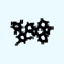 Fc1cc(F)c(-c2ccnc3c(-c4cccc5[nH]ncc45)c(-c4ccncc4)nn23)c(N2C[C@@H]3C[C@H]2CN3)c1